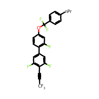 CCCc1ccc(C(F)(F)Oc2ccc(-c3cc(F)c(C#CC(F)(F)F)c(F)c3)c(F)c2)cc1